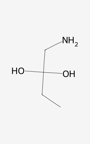 CCC(O)(O)CN